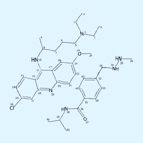 CCN(CC)CCCC(C)Nc1c2ccc(Cl)cc2nc2ccc(OC)cc12.CNNCc1ccc(C(=O)NC(C)C)cc1